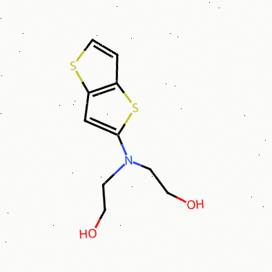 OCCN(CCO)c1cc2sccc2s1